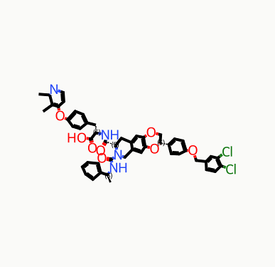 Cc1nccc(Oc2ccc(C[C@H](NC(=O)[C@@H]3Cc4cc5c(cc4CN3C(=O)N[C@@H](C)c3ccccc3)O[C@@H](c3ccc(OCc4ccc(Cl)c(Cl)c4)cc3)CO5)C(=O)O)cc2)c1C